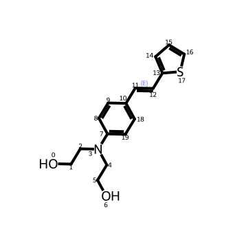 OCCN(CCO)c1ccc(/C=C/c2cccs2)cc1